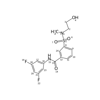 CN(CCO)S(=O)(=O)c1cccc(C(=O)Nc2cc(F)cc(F)c2)c1